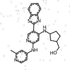 Cc1cc(Nc2cc(NC3CCC(CO)C3)c(-c3nc4ccccc4s3)cn2)ccn1